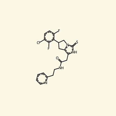 O=C(Cc1[nH]c(=S)n2c1CC(c1c(F)ccc(Cl)c1F)C2)NCCc1ccccn1